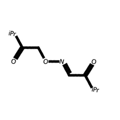 CC(C)C(=O)/C=N/OCC(=O)C(C)C